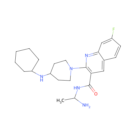 CC(N)NC(=O)c1cc2ccc(F)cc2nc1N1CCC(NC2CCCCC2)CC1